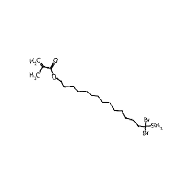 C=C(C)C(=O)OCCCCCCCCCCCCCCC([SiH3])(Br)Br